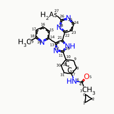 C1CC1.CC(=O)NC12CCC(c3nc(-c4cccc(C)n4)c(-c4ccnc([AsH2])n4)[nH]3)(CC1)CC2